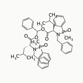 CC(C)C[C@H](C(=O)OC(OC(=O)[C@@H](CC(C)C)N(Cc1ccccc1)[P@](C)(=O)c1ccccc1)c1ccccc1)N(Cc1ccccc1)[P@@](C)(=O)c1ccccc1